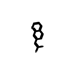 [CH2]/C(F)=C\c1ccc2cccnc2c1